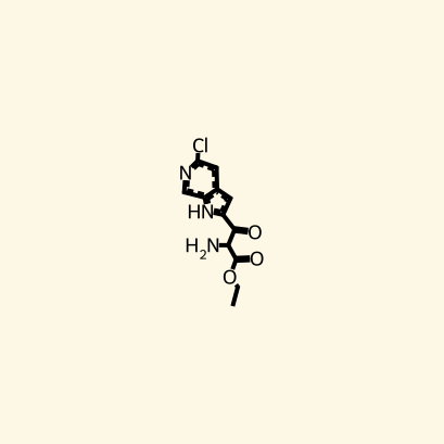 CCOC(=O)C(N)C(=O)c1cc2cc(Cl)ncc2[nH]1